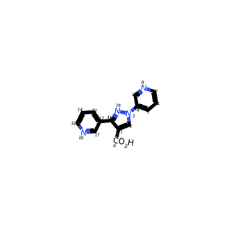 O=C(O)c1cn(-c2cccnc2)nc1-c1cccnc1